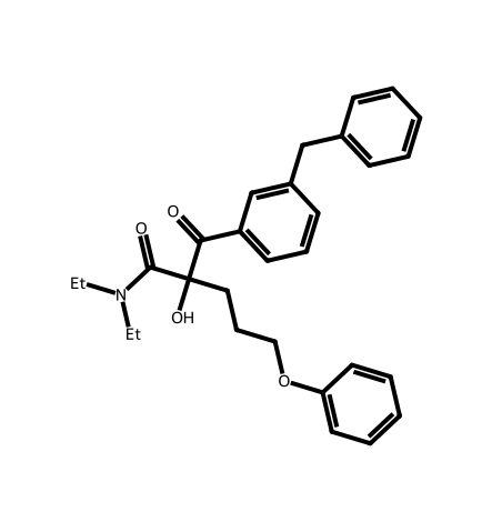 CCN(CC)C(=O)C(O)(CCCOc1ccccc1)C(=O)c1cccc(Cc2ccccc2)c1